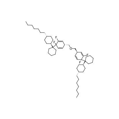 CCCCCCC[C@H]1CC[C@H](C2([C@@]3(F)C=C[C@@H](COC[C@@H]4C=C[C@](F)(C5([C@H]6CC[C@H](CCCCCCC)CC6)CCCCC5)C(F)=C4)C=C3F)CCCCC2)CC1